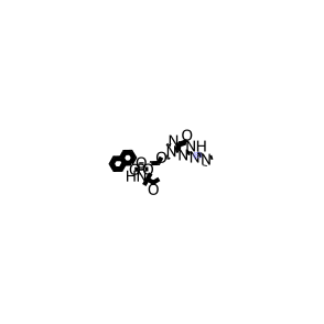 CC(=O)C(C)(C)NP(=O)(OCCOCn1cnc2c(=O)[nH]c(/N=C/N(C)C)nc21)Oc1cccc2ccccc12